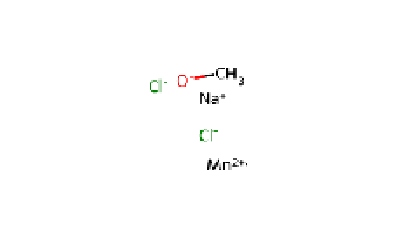 C[O-].[Cl-].[Cl-].[Mn+2].[Na+]